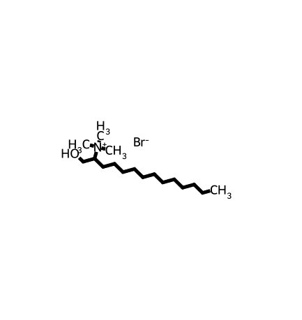 CCCCCCCCCCCCC(CO)[N+](C)(C)C.[Br-]